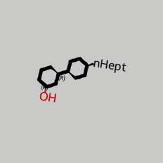 CCCCCCC[C@H]1CC[C@@H]([C@@H]2CCC[C@@H](O)C2)CC1